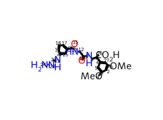 COc1cc(OC)cc(C(CNC(=O)CNC(=O)c2cccc(NC=NN)c2)C(=O)O)c1